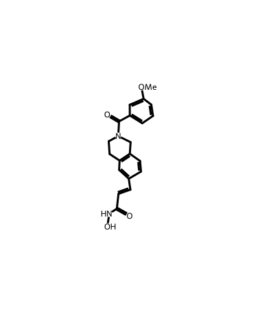 COc1cccc(C(=O)N2CCc3cc(C=CC(=O)NO)ccc3C2)c1